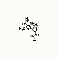 Cc1ccc(C(=O)NC2CC2)cc1-n1nc(C)c(C(N)=O)c1N